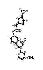 Nc1cccc(-c2cc(=O)c3cc(CC(=O)Nc4cc(C5CC5)[nH]n4)ccc3o2)c1